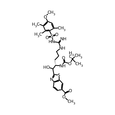 COC(=O)c1ccc2nc(C(O)[C@H](CCCNC(=N)NS(=O)(=O)c3c(C)cc(OC)c(C)c3C)NC(=O)OC(C)(C)C)sc2c1